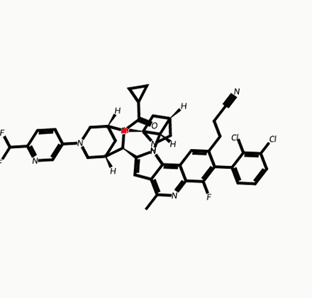 Cc1nc2c(F)c(-c3cccc(Cl)c3Cl)c(CCC#N)cc2c2c1cc([C@H]1[C@H]3C[C@H](CN(c4ccc(C(F)F)nc4)C3)N1C(=O)C1CC1)n2[C@H]1[C@H]2CN[C@@H]1C2